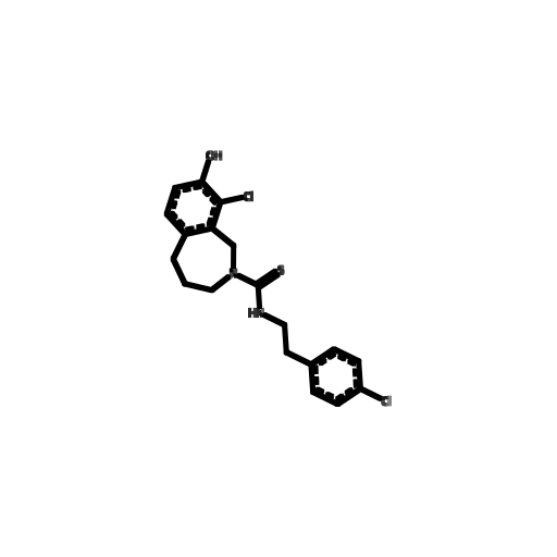 Oc1ccc2c(c1Cl)CN(C(=S)NCCc1ccc(Cl)cc1)CCC2